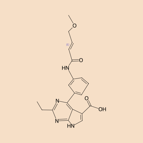 CCc1nc(-c2cccc(NC(=O)/C=C/COC)c2)c2c(C(=O)O)c[nH]c2n1